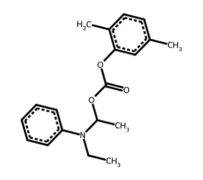 CCN(c1ccccc1)C(C)OC(=O)Oc1cc(C)ccc1C